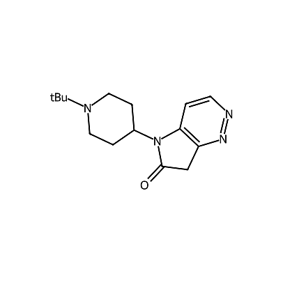 CC(C)(C)N1CCC(N2C(=O)Cc3nnccc32)CC1